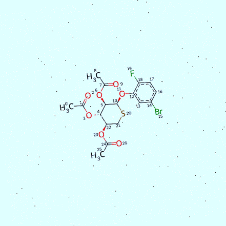 CC(=O)O[C@@H]1[C@@H](OC(C)=O)[C@@H](Oc2cc(Br)ccc2F)SC[C@H]1OC(C)=O